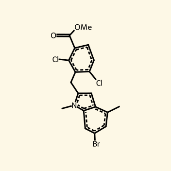 COC(=O)c1ccc(Cl)c(Cc2cc3c(C)cc(Br)cc3n2C)c1Cl